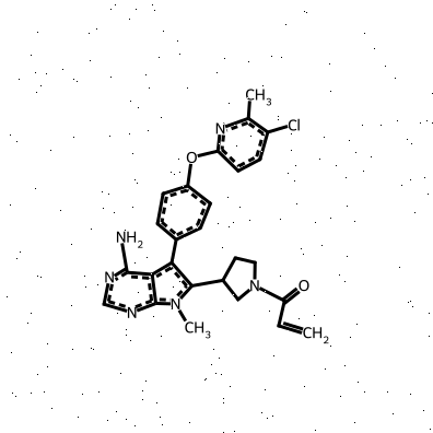 C=CC(=O)N1CCC(c2c(-c3ccc(Oc4ccc(Cl)c(C)n4)cc3)c3c(N)ncnc3n2C)C1